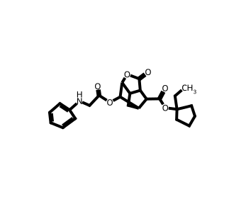 CCC1(OC(=O)C2C3CC4C(OC(=O)C42)C3OC(=O)CNc2ccccc2)CCCC1